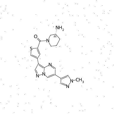 Cn1cc(-c2cnc3c(-c4csc(C(=O)N5CCC[C@@H](N)C5)c4)cnn3c2)cn1